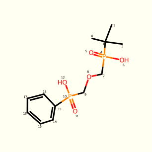 CC(C)(C)P(=O)(O)COCP(=O)(O)c1ccccc1